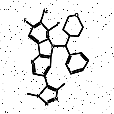 CC(=O)c1c(F)cc2c3ncc(-c4c(C)nnn4C)cc3n(C(c3ccccc3)C3CCOCC3)c2c1F